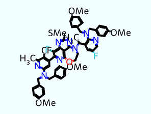 COc1ccc(CN(Cc2ccc(OC)cc2)c2cc(-c3nc4c5c(nc(SC)nc5c3F)N(C(C)c3cc(F)cnc3N(Cc3ccc(OC)cc3)Cc3ccc(OC)cc3)CCO4)c(C(F)(F)F)c(C)n2)cc1